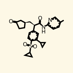 Cc1ccc(NC(=O)[C@H](C[C@H]2CCC(=O)C2)c2ccc(S(=O)(=O)C3CC3)c(C3CC3)c2)nc1